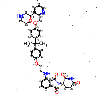 CC(C)(c1ccc(OCCNc2cccc3c2C(=O)N(C2CCC(=O)NC2=O)C3=O)cc1)c1ccc(OCc2ncccc2C2CNCCO2)cc1